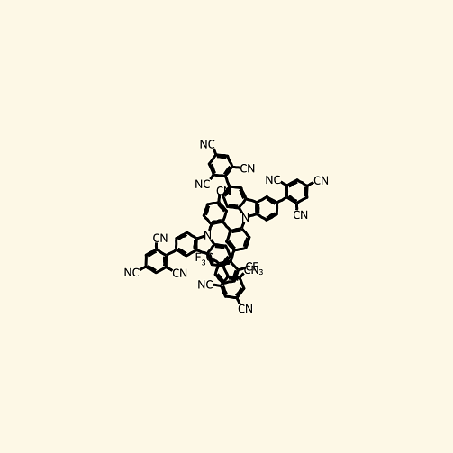 N#Cc1cc(C#N)c(-c2ccc3c(c2)c2cc(-c4c(C#N)cc(C#N)cc4C#N)ccc2n3-c2ccc(C#N)cc2-c2cc(-c3c(C(F)(F)F)cccc3C(F)(F)F)ccc2-n2c3ccc(-c4c(C#N)cc(C#N)cc4C#N)cc3c3cc(-c4c(C#N)cc(C#N)cc4C#N)ccc32)c(C#N)c1